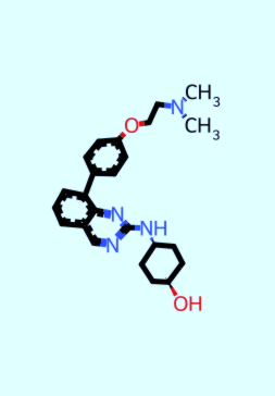 CN(C)CCOc1ccc(-c2cccc3cnc(N[C@H]4CC[C@H](O)CC4)nc23)cc1